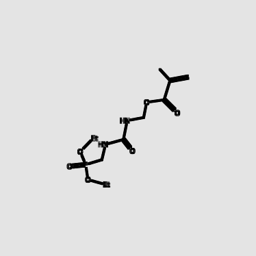 C=C(C)C(=O)OCNC(=O)NCP(=O)(OCC)OCC